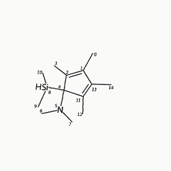 CC1=C(C)C(N(C)C)([SiH](C)C)C(C)=C1C